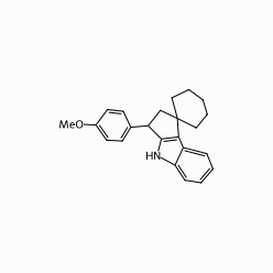 COc1ccc(C2CC3(CCCCC3)c3c2[nH]c2ccccc32)cc1